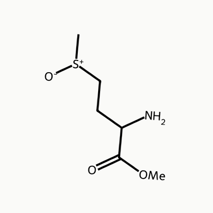 COC(=O)C(N)CC[S+](C)[O-]